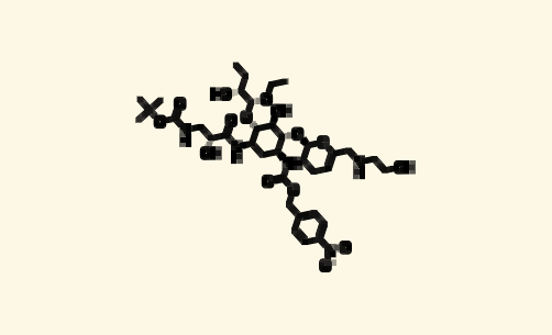 CCO[C@H](O[C@@H]1[C@@H](O)[C@H](O[C@@H]2CCC=C(CNCCO)O2)[C@@H](NC(=O)OCc2ccc([N+](=O)[O-])cc2)C[C@H]1NC(=O)[C@H](O)CNC(=O)OC(C)(C)C)[C@H](O)CC